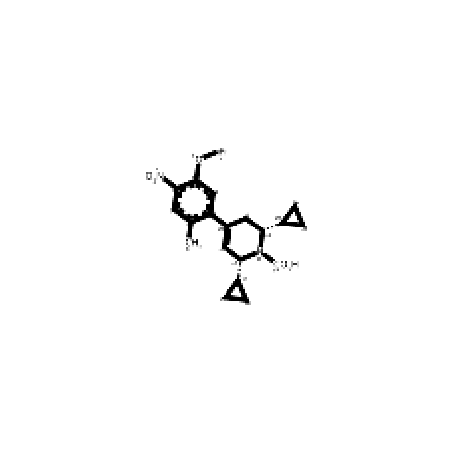 Cc1cc([N+](=O)[O-])c(OC(C)C)cc1C1=C[C@@H](C2CC2)N(C(=O)O)[C@@H](C2CC2)C1